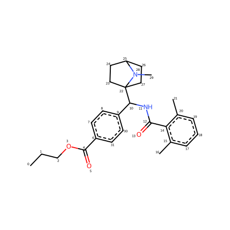 CCCOC(=O)c1ccc(C(NC(=O)c2c(C)cccc2C)C23CCC(CC2)N3C)cc1